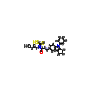 O=C(O)CN(C(=O)/C=C/c1ccc2c(c1)c1c(n2-c2ccccc2)CCC1)C(=S)S